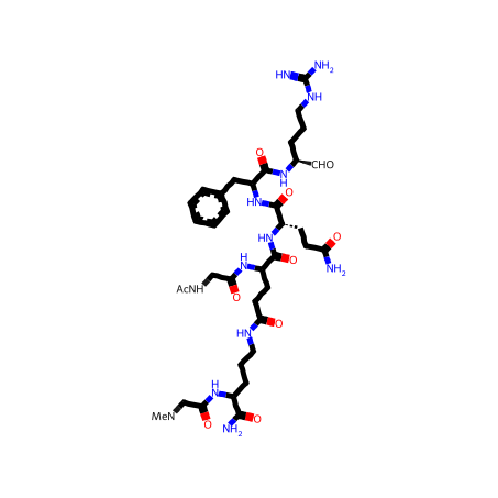 CNCC(=O)NC(CCCNC(=O)CCC(NC(=O)CNC(C)=O)C(=O)N[C@@H](CCC(N)=O)C(=O)NC(Cc1ccccc1)C(=O)N[C@H](C=O)CCCNC(=N)N)C(N)=O